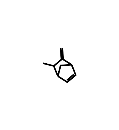 C=C1C2C=CC(C2)C1C